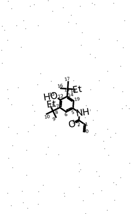 C=CC(=O)Nc1cc(C(C)(C)CC)c(O)c(C(C)(C)CC)c1